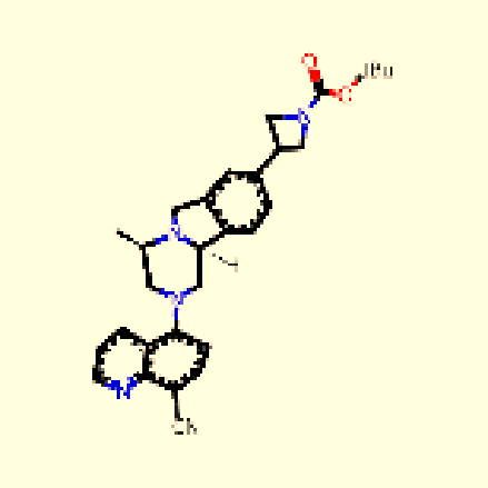 C[C@@H]1CN(c2ccc(C#N)c3ncccc23)C[C@@H]2c3ccc(C4CN(C(=O)OC(C)(C)C)C4)cc3CN12